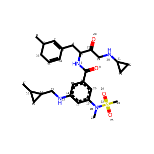 CC1C=C(CC(NC(=O)c2cc(NCC3CC3C)cc(N(C)S(C)(=O)=O)c2)C(=O)CNC2CC2)C=CC1